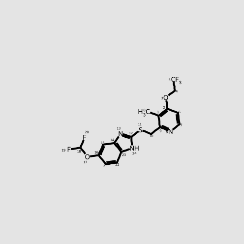 Cc1c(OCC(F)(F)F)ccnc1CSc1nc2cc(OC(F)F)ccc2[nH]1